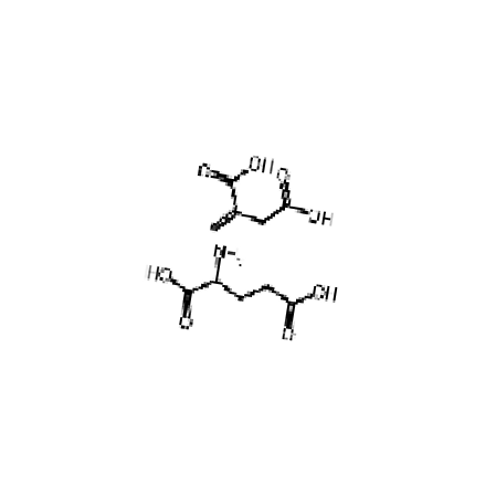 C=C(CC(=O)O)C(=O)O.NC(CCC(=O)O)C(=O)O